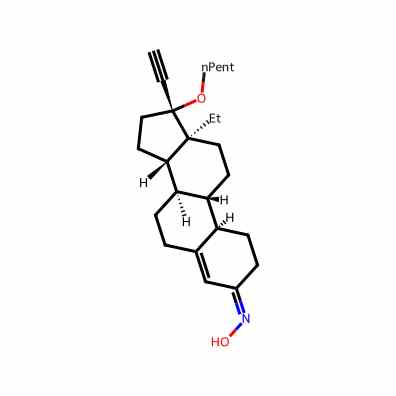 C#C[C@]1(OCCCCC)CC[C@H]2[C@@H]3CCC4=CC(=NO)CC[C@@H]4[C@H]3CC[C@@]21CC